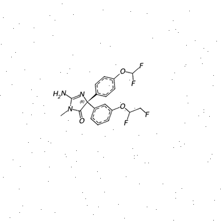 CN1C(=O)[C@@](c2ccc(OC(F)F)cc2)(c2cccc(OC(F)CF)c2)N=C1N